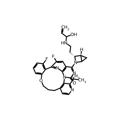 C=CC(O)NCC[C@@H]1[C@@H]2CC2N1c1nc(=O)n2c3nc(c(F)cc13)-c1c(F)cccc1OCCCc1ccnc(C(C)C)c1-2